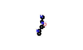 Cc1cc(-c2cnc3ccccc3c2)ccc1C(=O)N1CCC(c2cccnc2)C1